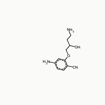 N#Cc1ccc(N)cc1OCC(O)CCN